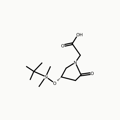 CC(C)(C)[Si](C)(C)O[C@H]1CC(=O)N(CC(=O)O)C1